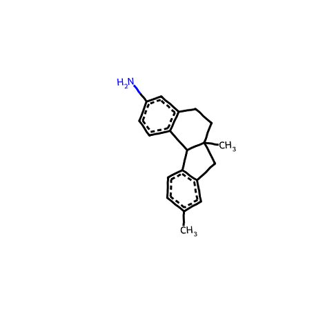 Cc1ccc2c(c1)CC1(C)CCc3cc(N)ccc3C21